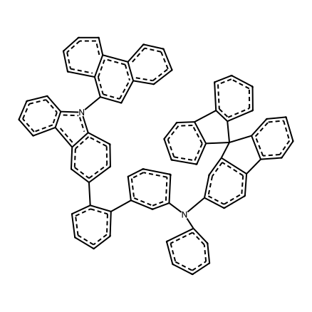 c1ccc(N(c2cccc(-c3ccccc3-c3ccc4c(c3)c3ccccc3n4-c3cc4ccccc4c4ccccc34)c2)c2ccc3c(c2)C2(c4ccccc4-c4ccccc42)c2ccccc2-3)cc1